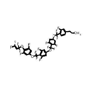 CCCc1ccc(C(F)(F)Oc2cc(F)c(C(F)(F)Oc3cc(F)c(C(F)(F)Oc4cc(F)c(OC(F)(F)C=C(F)F)c(F)c4)c(F)c3)c(F)c2)c(F)c1